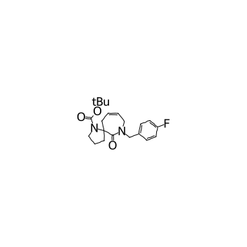 CC(C)(C)OC(=O)N1CCCC12CC=CCN(Cc1ccc(F)cc1)C2=O